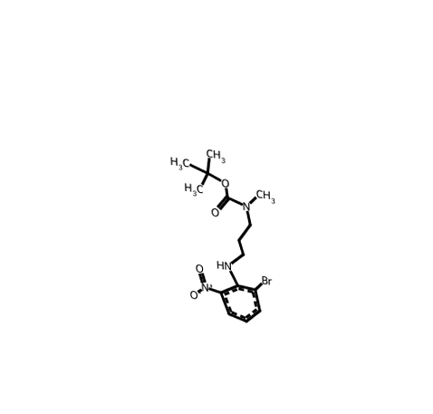 CN(CCCNc1c(Br)cccc1[N+](=O)[O-])C(=O)OC(C)(C)C